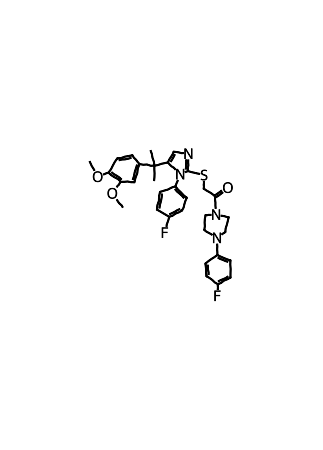 COc1ccc(C(C)(C)c2cnc(SCC(=O)N3CCN(c4ccc(F)cc4)CC3)n2-c2ccc(F)cc2)cc1OC